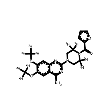 [2H]C([2H])([2H])Oc1cc2nc(N3CC([2H])([2H])N(C(=O)c4ccco4)C([2H])([2H])C3)nc(N)c2cc1OC([2H])([2H])[2H]